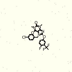 Cn1c(=O)c2c(nc(Oc3ccc(F)c(C(C)(F)F)c3)n2Cc2ccc(Cl)cc2)n(C)c1=O